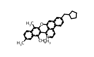 Cc1ccc2c(C)c3c(c(C)c2c1)-c1c2c(cc4cc(CC5CCCC5)ccc4c2cc[n+]1C)O3